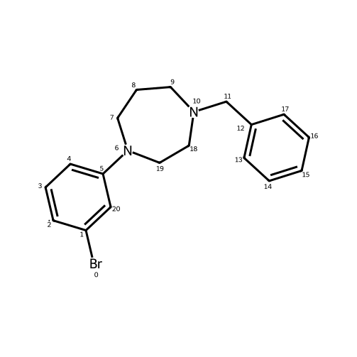 Brc1[c]ccc(N2CCCN(Cc3ccccc3)CC2)c1